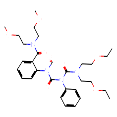 CCOCCN(CCOCC)C(=O)N(C(=O)N([C]=O)c1ccccc1C(=O)N(CCOC)CCOC)c1ccccc1